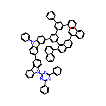 c1ccc(-c2cc(-c3ccccc3)cc(-c3cc(-c4ccc5c(c4)c4cc(-c6ccc7c(c6)c6ccccc6n7-c6nc(-c7ccccc7)nc(-c7ccccc7)n6)ccc4n5-c4ccccc4)cc(-c4c(-c5cccc6ccccc56)ccc5ccc(-c6cccc7ccccc67)cc45)c3)c2)cc1